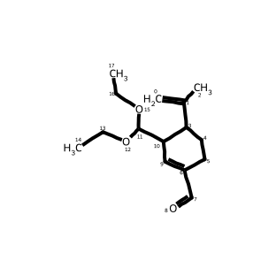 C=C(C)C1CCC(C=O)=CC1C(OCC)OCC